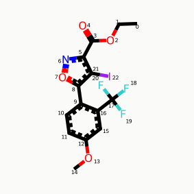 CCOC(=O)c1noc(-c2ccc(OC)cc2C(F)(F)F)c1I